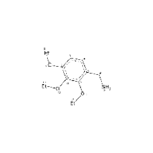 CCOc1ccc(C[SiH3])c(OCC)c1OCC